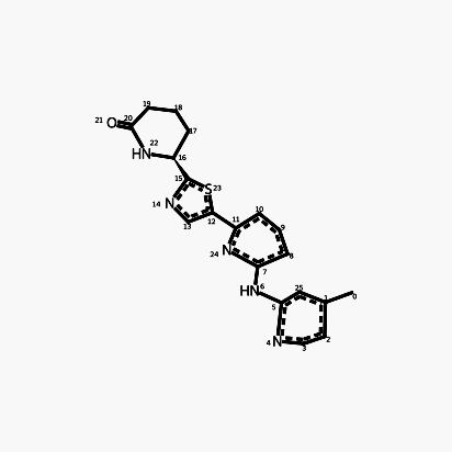 Cc1ccnc(Nc2cccc(-c3cnc([C@@H]4CCCC(=O)N4)s3)n2)c1